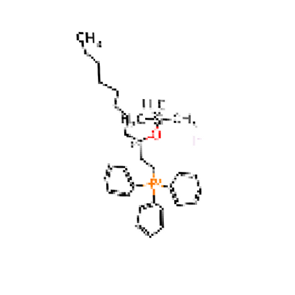 CCCCCCCC[C@H](CC[P+](c1ccccc1)(c1ccccc1)c1ccccc1)O[Si](C)(C)C.[I-]